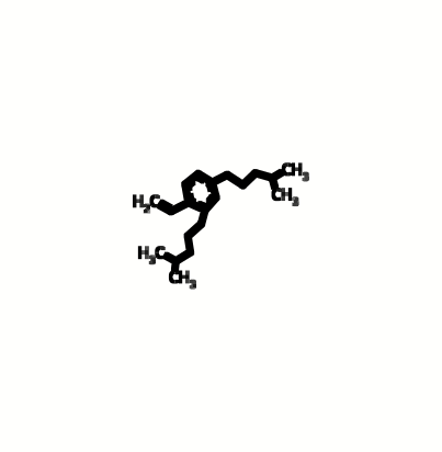 C=Cc1ccc(CCCC(C)C)cc1CCCC(C)C